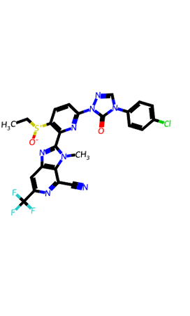 CC[S+]([O-])c1ccc(-n2ncn(-c3ccc(Cl)cc3)c2=O)nc1-c1nc2cc(C(F)(F)F)nc(C#N)c2n1C